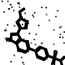 CCn1cc(-c2c[nH]c3ncc(-c4ccc(S(=O)(=O)C(C)C)cc4)nc23)cn1